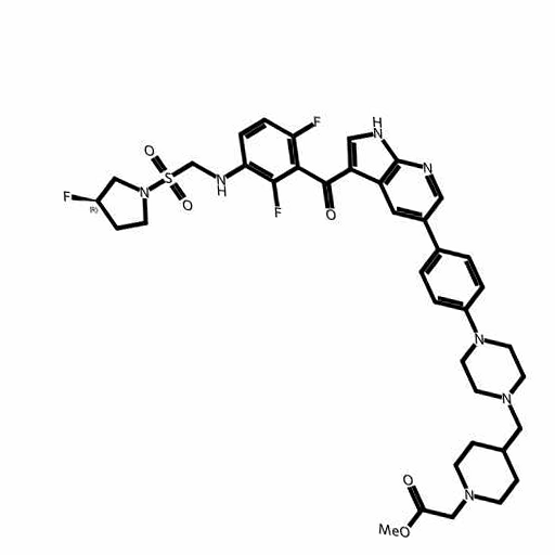 COC(=O)CN1CCC(CN2CCN(c3ccc(-c4cnc5[nH]cc(C(=O)c6c(F)ccc(NCS(=O)(=O)N7CC[C@@H](F)C7)c6F)c5c4)cc3)CC2)CC1